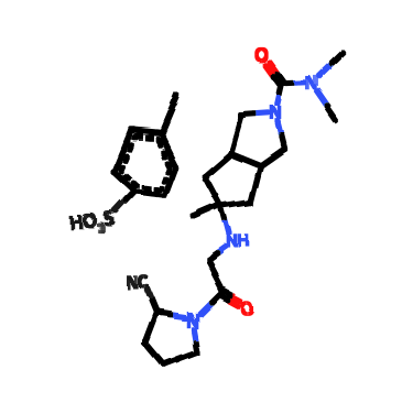 CN(C)C(=O)N1CC2CC(C)(NCC(=O)N3CCCC3C#N)CC2C1.Cc1ccc(S(=O)(=O)O)cc1